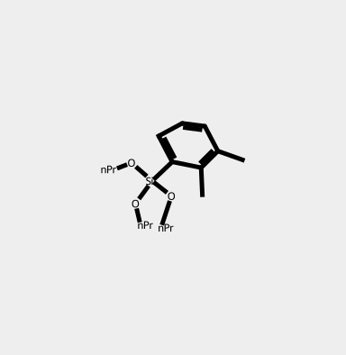 CCCO[Si](OCCC)(OCCC)c1cccc(C)c1C